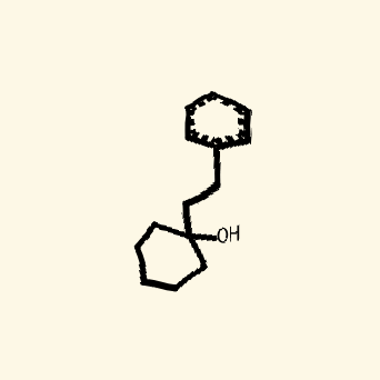 OC1(CCc2ccccc2)CCCCC1